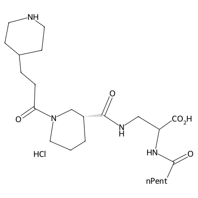 CCCCCC(=O)NC(CNC(=O)[C@@H]1CCCN(C(=O)CCC2CCNCC2)C1)C(=O)O.Cl